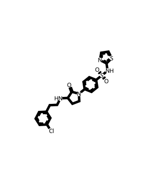 O=C1C(NCCc2cccc(Cl)c2)CCN1c1ccc(S(=O)(=O)Nc2nccs2)cc1